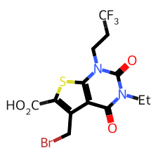 CCn1c(=O)c2c(CBr)c(C(=O)O)sc2n(CCC(F)(F)F)c1=O